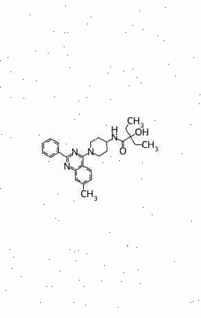 CCC(O)(CC)C(=O)NC1CCN(c2nc(-c3ccccc3)nc3cc(C)ccc23)CC1